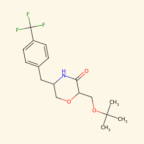 CC(C)(C)OCC1OCC(Cc2ccc(C(F)(F)F)cc2)NC1=O